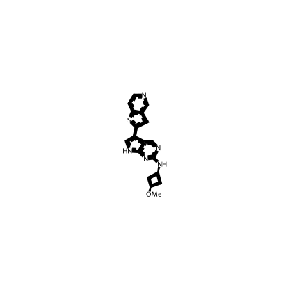 CO[C@H]1C[C@@H](Nc2ncc3c(-c4cc5cnccc5s4)c[nH]c3n2)C1